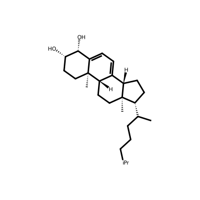 CC(C)CCCC(C)[C@H]1CC[C@H]2C3=CC=C4[C@@H](O)[C@@H](O)CC[C@]4(C)[C@H]3CC[C@]12C